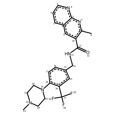 Cc1nc2ncccc2cc1C(=O)NCc1ccc(N2CCN(C)CC2)c(C(F)(F)F)c1